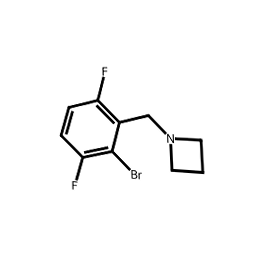 Fc1ccc(F)c(CN2CCC2)c1Br